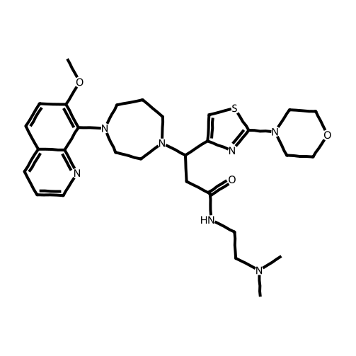 COc1ccc2cccnc2c1N1CCCN(C(CC(=O)NCCN(C)C)c2csc(N3CCOCC3)n2)CC1